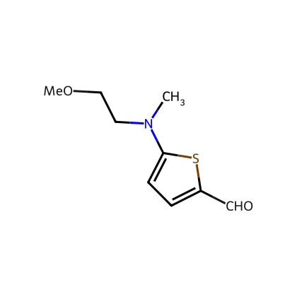 COCCN(C)c1ccc(C=O)s1